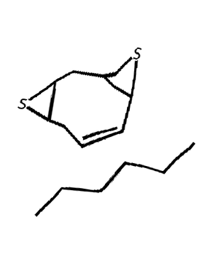 C1=CC2SC2C2SC12.CCCCCC